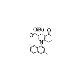 Cc1cc(N2C=C(C(=O)OCC(C)C)CC3=C2CCCC3=O)c2ccccc2c1